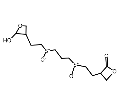 O=C1OCC1CC[S+]([O-])CCC[S+]([O-])CCC1COC1O